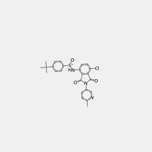 Cc1ccc(N2C(=O)c3c(Cl)ccc(N[S+]([O-])c4ccc(C(C)(C)C)cc4)c3C2=O)cn1